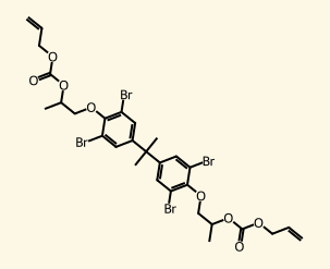 C=CCOC(=O)OC(C)COc1c(Br)cc(C(C)(C)c2cc(Br)c(OCC(C)OC(=O)OCC=C)c(Br)c2)cc1Br